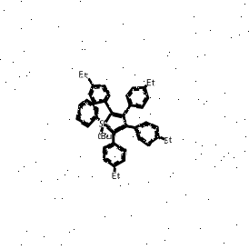 CCc1ccc(C2=C(c3ccc(CC)cc3)[Si](c3ccccc3)(C(C)(C)C)C(c3ccc(CC)cc3)=C2c2ccc(CC)cc2)cc1